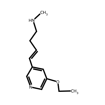 CCOc1cncc(C=CCCNC)c1